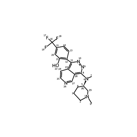 CN1CCC[C@@H](N(C)c2nnc(-c3ccc(C(F)(F)F)cc3O)c3ccncc23)C1